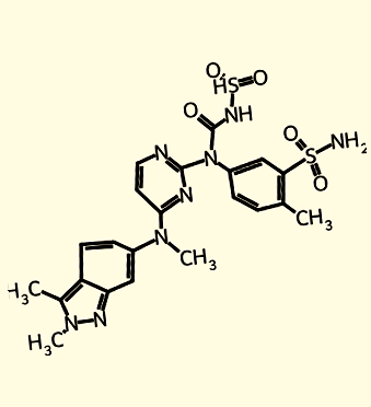 Cc1ccc(N(C(=O)N[SH](=O)=O)c2nccc(N(C)c3ccc4c(C)n(C)nc4c3)n2)cc1S(N)(=O)=O